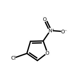 O=[N+]([O-])c1cc(Cl)co1